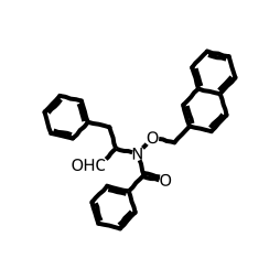 O=CC(Cc1ccccc1)N(OCc1ccc2ccccc2c1)C(=O)c1ccccc1